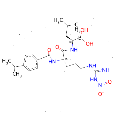 CC(C)C[C@H](NC(=O)[C@H](CCCNC(=N)N[N+](=O)[O-])NC(=O)c1ccc(C(C)C)cc1)B(O)O